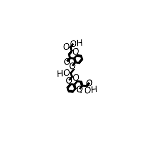 CO/C(=C\C(=O)c1ccccc1OCC(O)COc1cccc2oc(C(=O)O)cc(=O)c12)C(=O)O